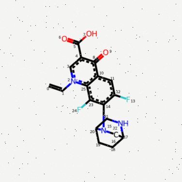 C=Cn1cc(C(=O)O)c(=O)c2cc(F)c(N3CC4CCC3CN4)c(F)c21